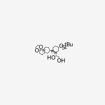 CC(C)(C)[Si](C)(C)OC1CC[C@](C)(C2CC[C@@]3(C)C(CCC34OCCO4)C2)[C@@H](C(O)CO)C1